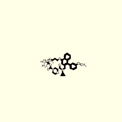 COCCCOc1cc(CN(C(=O)[C@H]2CN(C(=O)OC(C)(C)C)CCO2)C2CC2)c(-c2cccc(OC)c2)c2ccccc12